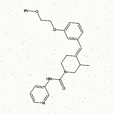 CC(C)OCCOc1cccc(/C=C2\CCN(C(=O)Nc3cccnc3)CC2C)c1